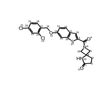 O=C1CCC2(CN(C(=O)c3cc4ccc(OCc5ccc(Cl)cc5Cl)cc4s3)C2)N1